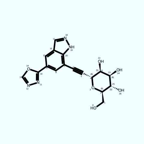 OC[C@H]1O[C@H](C#Cc2cc(-c3nnco3)cc3cn[nH]c23)[C@@H](O)[C@@H](O)[C@@H]1O